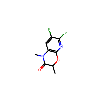 CC1Oc2nc(Br)c(F)cc2N(C)C1=O